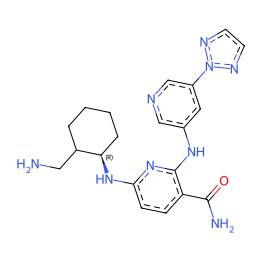 NCC1CCCC[C@H]1Nc1ccc(C(N)=O)c(Nc2cncc(-n3nccn3)c2)n1